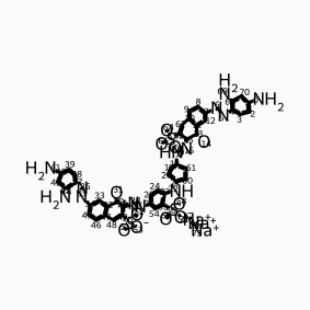 Nc1ccc(N=Nc2ccc3c(c2)C(=O)C(=NNc2ccc(Nc4ccc(NN=C5C(=O)c6cc(N=Nc7ccc(N)cc7N)ccc6C=C5S(=O)(=O)[O-])cc4S(=O)(=O)[O-])cc2)C(S(=O)(=O)[O-])=C3)c(N)c1.[Na+].[Na+].[Na+]